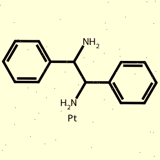 NC(c1ccccc1)C(N)c1ccccc1.[Pt]